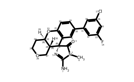 CN1C(=O)[C@]2(N=C1N)c1cc(-c3cc(F)cc(Cl)c3)ccc1O[C@@H]1CCOC[C@H]12